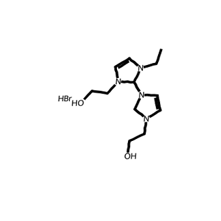 Br.CCN1C=CN(CCO)C1N1C=CN(CCO)C1